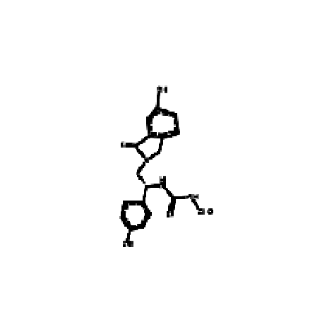 O=CNC(=O)N[C@@H](CN1Cc2ccc(O)cc2C1=O)c1ccc(O)cc1